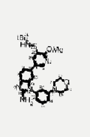 COc1ncc(-c2ccc3nc(N)n(-c4cccc(N5CCOCC5)c4)c3c2)cc1SNC(C)(C)C